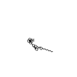 CCCCCCCCCOCC1COC(C)(COCCOS(=O)(=O)O)OC1